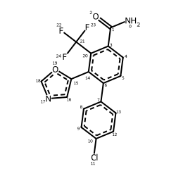 NC(=O)c1ccc(-c2ccc(Cl)cc2)c(-c2cnco2)c1C(F)(F)F